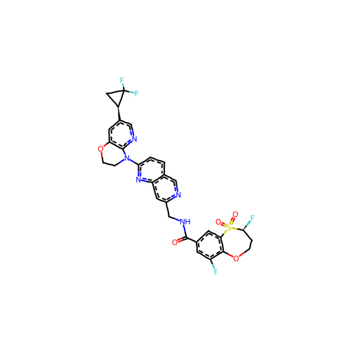 O=C(NCc1cc2nc(N3CCOc4cc([C@H]5CC5(F)F)cnc43)ccc2cn1)c1cc(F)c2c(c1)S(=O)(=O)[C@@H](F)CCO2